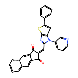 O=C1C(=Cc2nc3sc(-c4ccccc4)cc3n2-c2cccnc2)C(=O)c2cc3ccccc3cc21